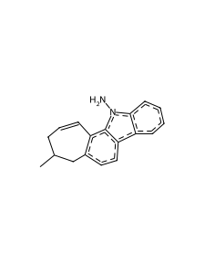 CC1CC=Cc2c(ccc3c4ccccc4n(N)c23)C1